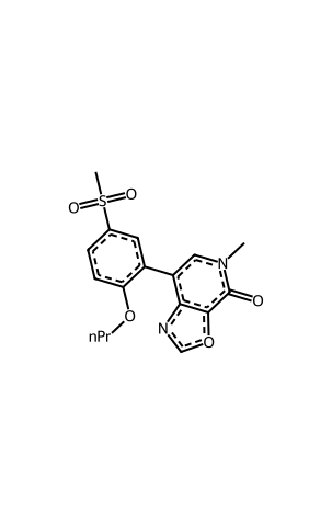 CCCOc1ccc(S(C)(=O)=O)cc1-c1cn(C)c(=O)c2ocnc12